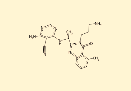 Cc1cccc2nc([C@H](C)Nc3ncnc(N)c3C#N)n(CCCN)c(=O)c12